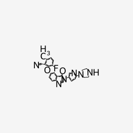 Cc1ccc(F)c(Oc2ccc3ncn(-c4ccc(N5CCNCC5)nc4)c(=O)c3c2)c1C#N